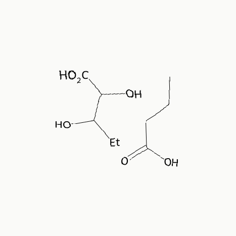 CCC(O)C(O)C(=O)O.CCCC(=O)O